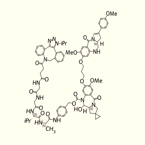 COc1ccc(C2=CN3C(=O)c4cc(OC)c(OCCCOc5cc6c(cc5OC)C(=O)N5CC7(CC7)C[C@H]5C(O)N6C(=O)OCc5ccc(NC(=O)[C@H](C)NC(=O)[C@@H](NC(=O)CNC(=O)CNC(=O)CCC(=O)N6Cc7ccccc7-c7c(nnn7C(C)C)-c7ccccc76)C(C)C)cc5)cc4NC[C@@H]3C2)cc1